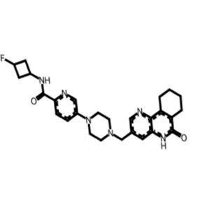 O=C(NC1CC(F)C1)c1ccc(N2CCN(Cc3cnc4c5c(c(=O)[nH]c4c3)CCCC5)CC2)cn1